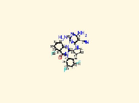 N#Cc1c(N)nc(N)nc1N1CCCC1c1nc2cccc(F)c2c(=O)n1-c1cc(F)cc(F)c1